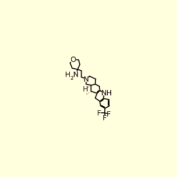 C[C@H]1C2=C(CC3CCN(CCC4(N)CCOCC4)C[C@@H]31)Nc1ccc(C(F)(F)F)cc1C2